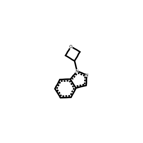 [c]1ccc2c(c1)cnn2C1COC1